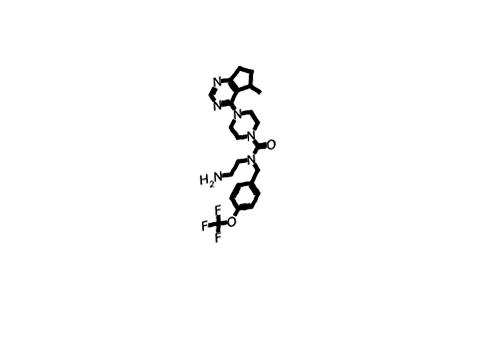 CC1CCc2ncnc(N3CCN(C(=O)N(CCN)Cc4ccc(OC(F)(F)F)cc4)CC3)c21